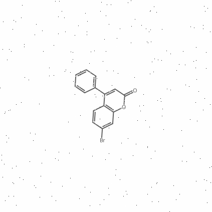 O=c1cc(-c2ccccc2)c2ccc(Br)cc2o1